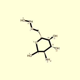 N[C@H]1C(O)O[C@H](COPO)[C@@H](O)[C@@H]1O